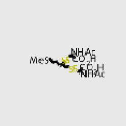 CSCCCC[C@H](CCSSC[C@H](NC(C)=O)C(=O)O)SSC[C@H](NC(C)=O)C(=O)O